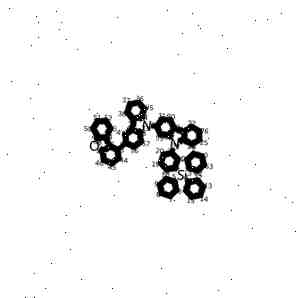 c1ccc([Si](c2ccccc2)(c2ccccc2)c2cccc(-n3c4ccccc4c4ccc(-n5c6ccccc6c6cc(-c7cccc8oc9ccccc9c78)ccc65)cc43)c2)cc1